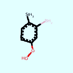 Bc1cc(OO)ccc1[SiH3]